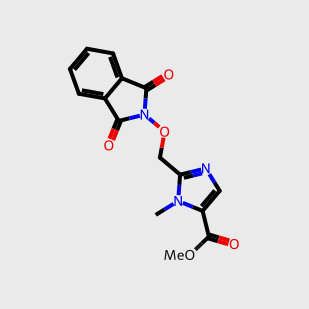 COC(=O)c1cnc(CON2C(=O)c3ccccc3C2=O)n1C